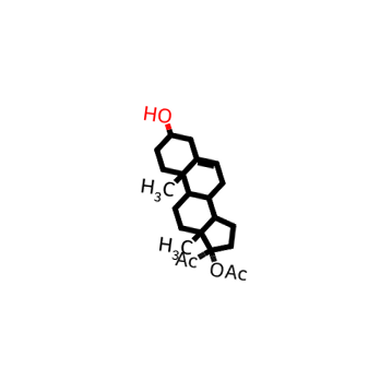 CC(=O)OC1(C(C)=O)CCC2C3CC=C4CC(O)CCC4(C)C3CCC21C